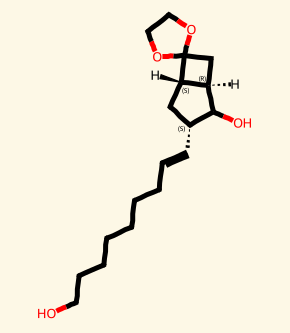 OCCCCCCCC=C[C@@H]1C[C@H]2[C@@H](CC23OCCO3)C1O